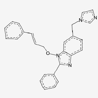 C(=Cc1ccccc1)COn1c(-c2ccccc2)nc2ccc(Cn3ccnc3)cc21